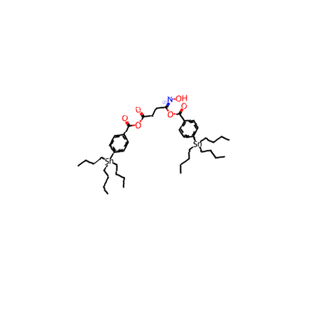 CCC[CH2][Sn]([CH2]CCC)([CH2]CCC)[c]1ccc(C(=O)OC(=O)CC/C(=N/O)OC(=O)c2cc[c]([Sn]([CH2]CCC)([CH2]CCC)[CH2]CCC)cc2)cc1